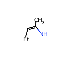 CCC=C(C)[NH]